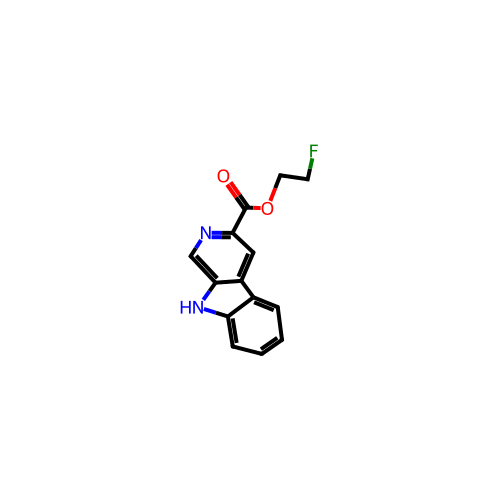 O=C(OCCF)c1cc2c(cn1)[nH]c1ccccc12